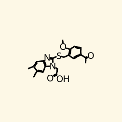 COc1ccc(C(C)=O)cc1CSc1nc2cc(C)c(C)cc2n1CC(=O)O